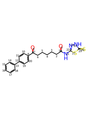 O=C(CCCCCC(=O)c1ccc(-c2ccccc2)cc1)Nc1n[nH]c(=S)s1